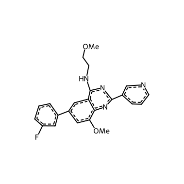 COCCNc1nc(-c2cccnc2)nc2c(OC)cc(-c3cccc(F)c3)cc12